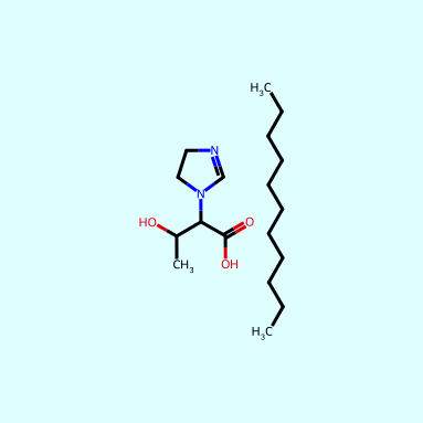 CC(O)C(C(=O)O)N1C=NCC1.CCCCCCCCCCC